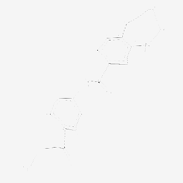 COC(=O)c1ccc(NC(=O)c2ccc3c(c2)NCCC3)cc1